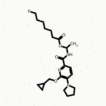 CC(NC(=O)c1ccc(N2CCCC2)c(OCC2CC2)n1)OC(=O)CCCCCCF